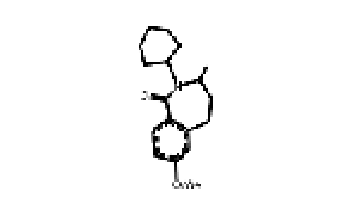 COc1ccc2c(c1)CCC(C)N(C1CCCCC1)C2=O